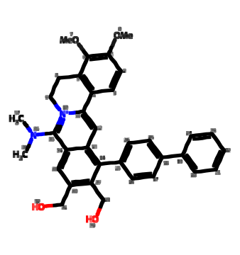 COc1ccc2c(c1OC)CC[n+]1c-2cc2c(-c3ccc(-c4ccccc4)cc3)c(CO)c(CO)cc2c1N(C)C